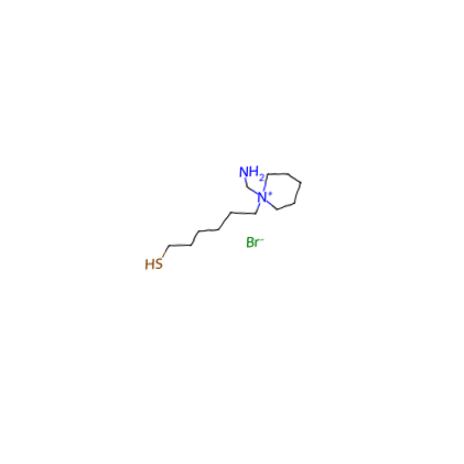 NC[N+]1(CCCCCCS)CCCCC1.[Br-]